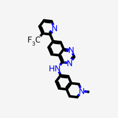 CN1CCc2ccc(Nc3ncnc4cc(-c5ncccc5C(F)(F)F)ccc34)cc2C1